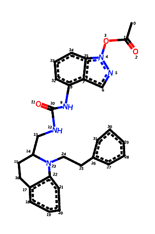 CC(=O)On1ncc2c(NC(=O)NCC3CCc4ccccc4N3CCc3ccccc3)cccc21